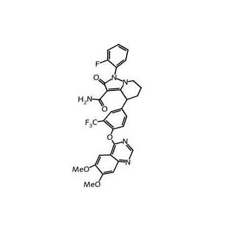 COc1cc2ncnc(Oc3ccc(C4CCCn5c4c(C(N)=O)c(=O)n5-c4ccccc4F)cc3C(F)(F)F)c2cc1OC